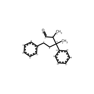 CC(C=O)C(C)(CCc1ccccc1)c1ccccc1